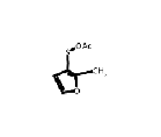 CC(=O)OSc1ccoc1C